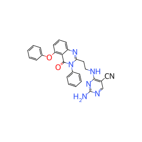 N#Cc1cnc(N)nc1NCCc1nc2cccc(Oc3ccccc3)c2c(=O)n1-c1ccccc1